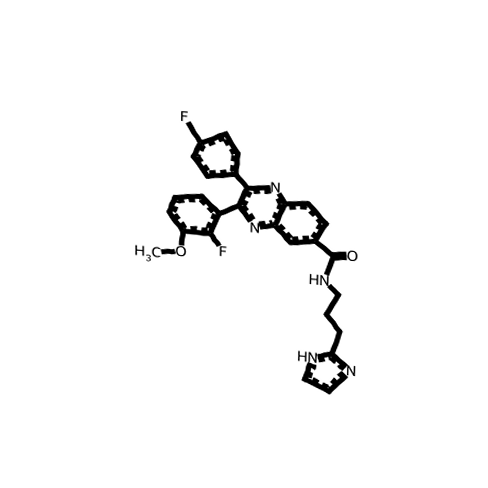 COc1cccc(-c2nc3cc(C(=O)NCCCc4ncc[nH]4)ccc3nc2-c2ccc(F)cc2)c1F